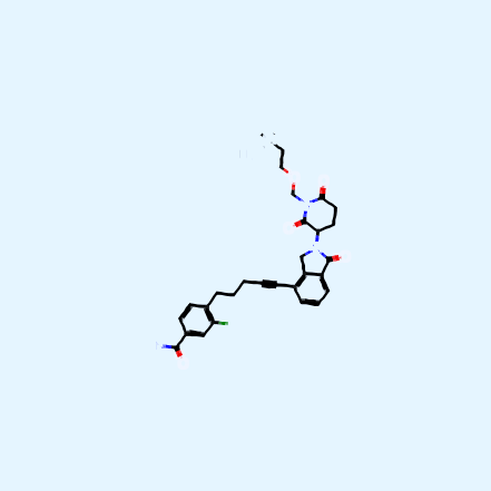 C[Si](C)(C)CCOCN1C(=O)CCC(N2Cc3c(C#CCCCc4ccc(C(N)=O)cc4F)cccc3C2=O)C1=O